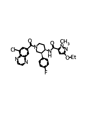 CCOc1cc(C(=O)N[C@@H]2CCN(C(=O)c3cc(Cl)c4nccnc4c3)C[C@@H]2c2ccc(F)cc2)n(C)n1